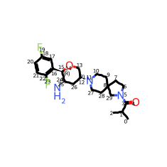 CC(C)C(=O)N1CCC2(CCN([C@H]3CO[C@H](c4cc(F)ccc4F)[C@@H](N)C3)CC2)C1